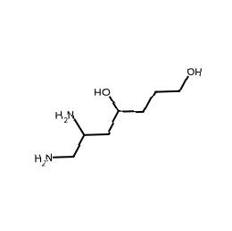 NCC(N)CC(O)CCCO